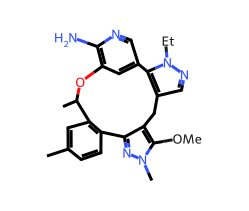 CCn1ncc2c1-c1cnc(N)c(c1)OC(C)c1cc(C)ccc1-c1nn(C)c(OC)c1C2